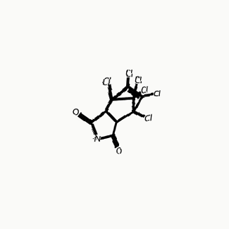 O=C1[N]C(=O)C2C1C1(Cl)C(Cl)=C(Cl)C2(Cl)C1(Cl)Cl